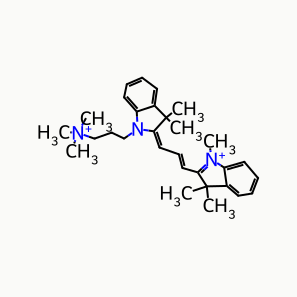 C[N+]1=C(/C=C/C=C2/N(CCC[N+](C)(C)C)c3ccccc3C2(C)C)C(C)(C)c2ccccc21